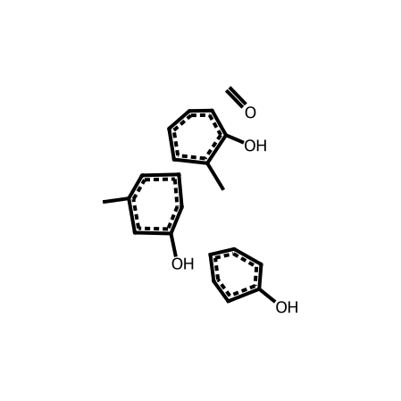 C=O.Cc1cccc(O)c1.Cc1ccccc1O.Oc1ccccc1